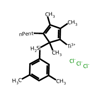 CCCCCC1=C(C)C(C)=[C]([Ti+3])C1(C)[SiH2]c1cc(C)cc(C)c1.[Cl-].[Cl-].[Cl-]